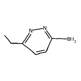 Bc1ccc(CC)nn1